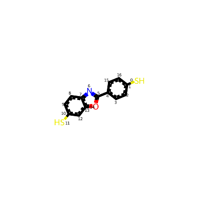 Sc1ccc(-c2nc3ccc(S)cc3o2)cc1